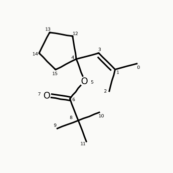 CC(C)=CC1(OC(=O)C(C)(C)C)CCCC1